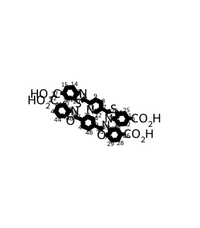 O=C(O)c1ccc2nc(-c3ccc(-c4nc5ccc(C(=O)O)cc5s4)nc3)sc2c1.O=C(O)c1ccc2oc(-c3ccc(-c4nc5cc(C(=O)O)ccc5o4)cc3)nc2c1